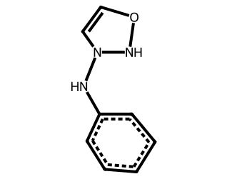 C1=CN(Nc2ccccc2)NO1